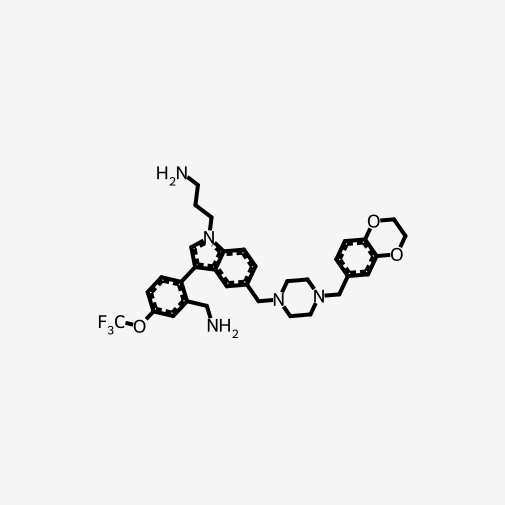 NCCCn1cc(-c2ccc(OC(F)(F)F)cc2CN)c2cc(CN3CCN(Cc4ccc5c(c4)OCCO5)CC3)ccc21